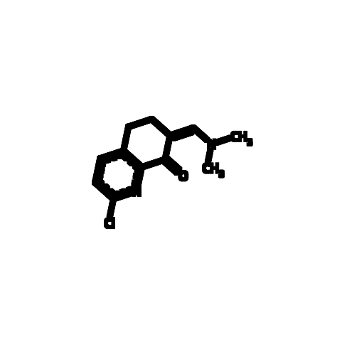 CN(C)C=C1CCc2ccc(Cl)nc2C1=O